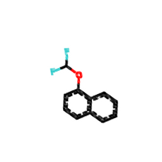 FC(F)Oc1cccc2ccccc12